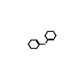 C1=C(SC2=CCCCC2)CCCC1